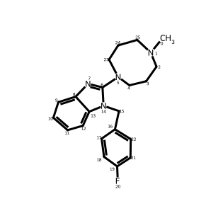 CN1CCCN(c2nc3ccccc3n2Cc2ccc(F)cc2)CCC1